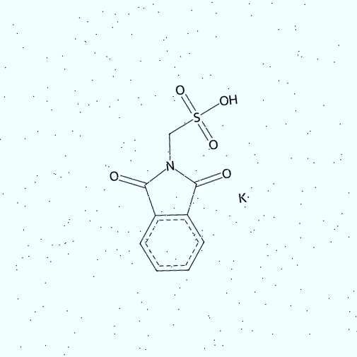 O=C1c2ccccc2C(=O)N1CS(=O)(=O)O.[K]